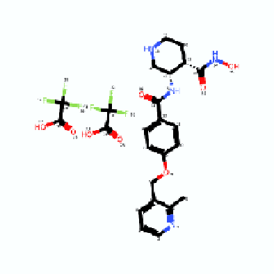 Cc1ncccc1COc1ccc(C(=O)N[C@@H]2CNCC[C@@H]2C(=O)NO)cc1.O=C(O)C(F)(F)F.O=C(O)C(F)(F)F